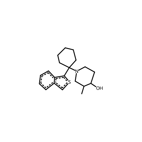 CC1CN(C2(c3scc4ccccc34)CCCCC2)CCC1O